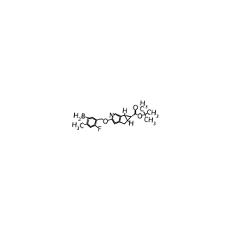 Bc1cc(COc2cc3c(cn2)[C@H]2[C@@H](C3)[C@@H]2C(=O)OC(C)(C)C)c(F)cc1C